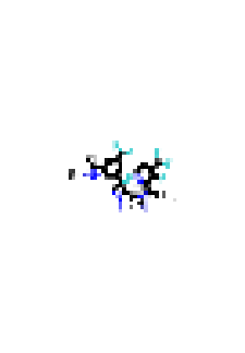 CC(C)N[C@H](C)c1cc(C(F)F)cc(C2(F)CNC2C(C)(C)N[C@H](C)c2nccc(C(F)F)c2F)c1